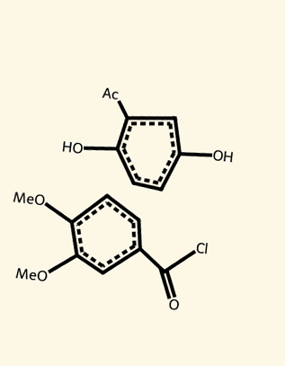 CC(=O)c1cc(O)ccc1O.COc1ccc(C(=O)Cl)cc1OC